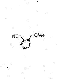 COCc1ccccc1CC#N